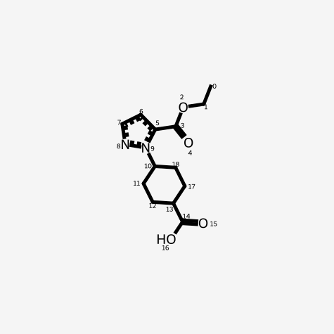 CCOC(=O)c1ccnn1C1CCC(C(=O)O)CC1